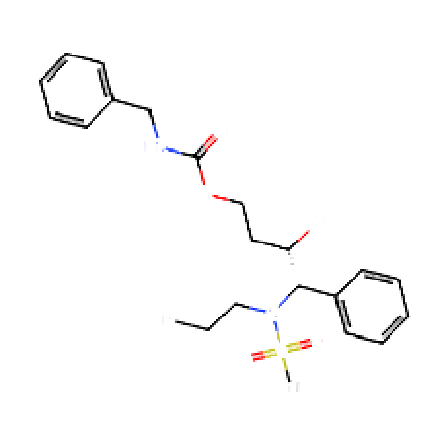 CCCS(=O)(=O)N(CCC(C)C)[C@@H](c1ccccc1)C(O)CCOC(=O)NCc1ccccc1